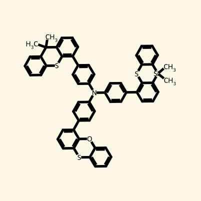 CC1(C)c2ccccc2Sc2c(-c3ccc(N(c4ccc(-c5cccc6c5Oc5ccccc5S6)cc4)c4ccc(-c5cccc6c5Sc5ccccc5[Si]6(C)C)cc4)cc3)cccc21